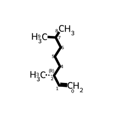 C=C[C@H](C)CCCC(C)C